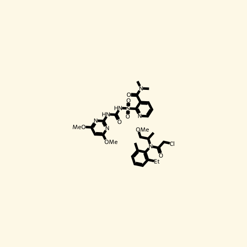 CCc1cccc(C)c1N(C(=O)CCl)C(C)COC.COc1cc(OC)nc(NC(=O)NS(=O)(=O)c2ncccc2C(=O)N(C)C)n1